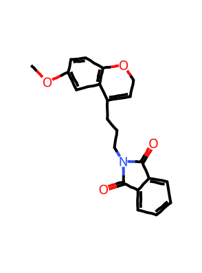 COc1ccc2c(c1)C(CCCN1C(=O)c3ccccc3C1=O)=CCO2